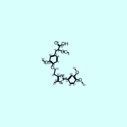 CCOC(Cc1ccc(OCCc2nc(-c3ccc(OC)c(OC)c3)sc2C)c(OC)c1)C(=O)O